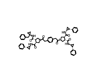 O=C(N[C@H]1C[C@@H]1c1ccccc1)[C@@H]1CN(C(=O)Cc2ccc(CC(=O)N3C[C@@H](C(=O)N[C@H]4C[C@@H]4c4ccccc4)[C@H](C(=O)NC4(Cc5ccccc5)CC4)C3)cc2)C[C@H]1C(=O)N[C@H]1C[C@@H]1c1ccccc1